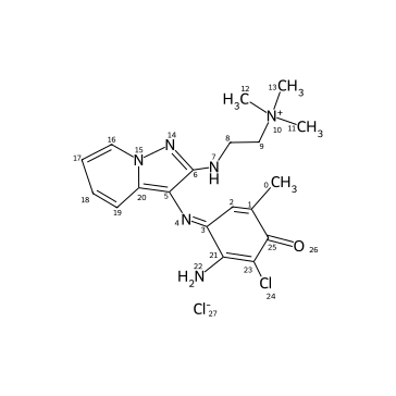 CC1=CC(=Nc2c(NCC[N+](C)(C)C)nn3ccccc23)C(N)=C(Cl)C1=O.[Cl-]